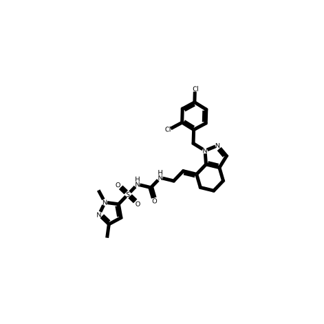 Cc1cc(S(=O)(=O)NC(=O)NCC=C2CCCc3cnn(Cc4ccc(Cl)cc4Cl)c32)n(C)n1